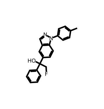 Cc1ccc(-n2ncc3cc(C(O)(CF)c4ccccc4)ccc32)cc1